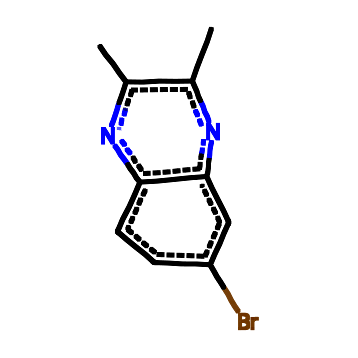 Cc1nc2ccc(Br)cc2nc1C